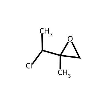 CC(Cl)C1(C)CO1